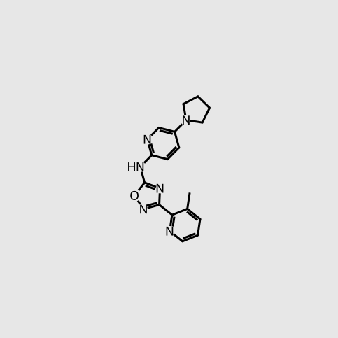 Cc1cccnc1-c1noc(Nc2ccc(N3CCCC3)cn2)n1